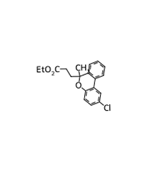 CCOC(=O)CCC1(C)Oc2ccc(Cl)cc2-c2ccccc21